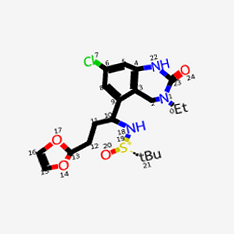 CCN1Cc2c(cc(Cl)cc2C(CCC2OC=CO2)N[S@@+]([O-])C(C)(C)C)NC1=O